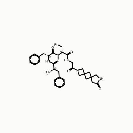 CC(C)C[C@@H](NC(=O)[C@@H](Cc1ccccc1)NC(=O)[C@H](N)Cc1ccccc1)C(=O)NCC(=O)N1CC2(C1)CC1(CNC(=O)C1)C2